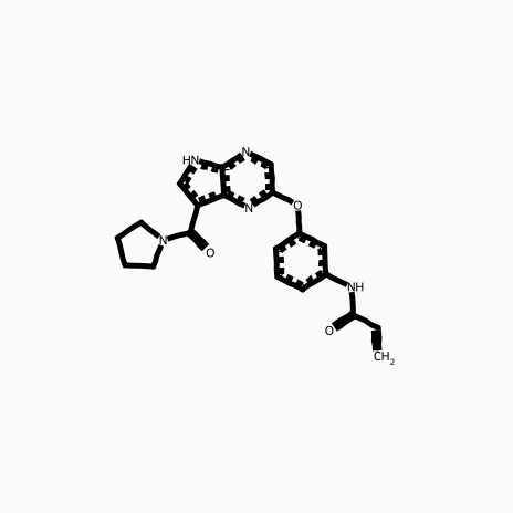 C=CC(=O)Nc1cccc(Oc2cnc3[nH]cc(C(=O)N4CCCC4)c3n2)c1